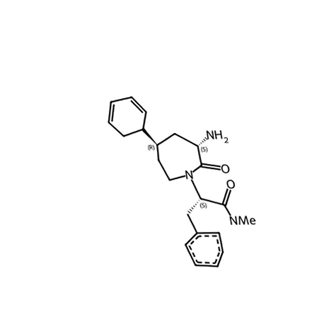 CNC(=O)[C@H](Cc1ccccc1)N1CC[C@@H](C2C=CC=CC2)C[C@H](N)C1=O